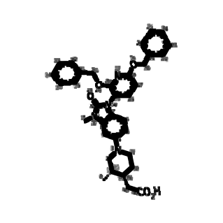 C[C@@H]1CN(c2ccc3c(c2)n(C)c(=O)n3-c2ccc(OCc3ccccc3)nc2OCc2ccccc2)CC[C@H]1CC(=O)O